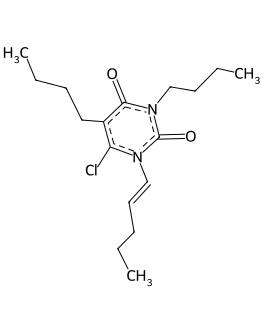 CCCC=Cn1c(Cl)c(CCCC)c(=O)n(CCCC)c1=O